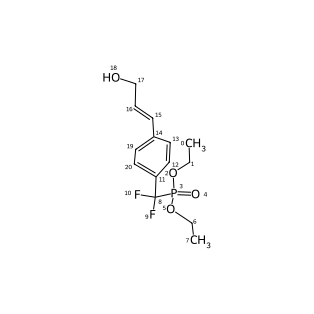 CCOP(=O)(OCC)C(F)(F)c1ccc(C=CCO)cc1